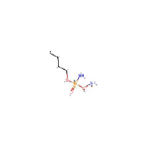 CCCCOP(N)(=O)ON